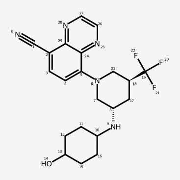 N#Cc1ccc(N2C[C@@H](NC3CCC(O)CC3)C[C@H](C(F)(F)F)C2)c2nccnc12